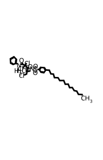 CCCCCCCCCCCCCCCCc1ccc(S(=O)(=O)NCC(C)(CCl)C(=O)C(Cl)(Cl)C(=O)Nc2ccccc2)cc1